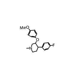 COc1ccc(OC2CN(C)CCC2c2ccc(F)cc2)cc1